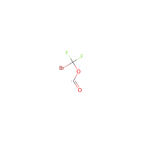 O=[C]OC(F)(F)Br